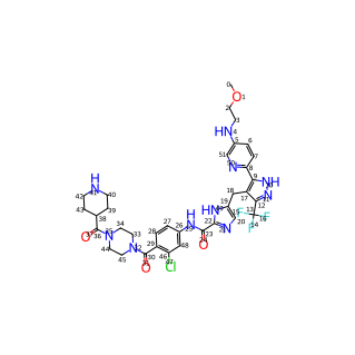 COCCNc1ccc(-c2[nH]nc(C(F)(F)F)c2Cc2cnc(C(=O)Nc3ccc(C(=O)N4CCN(C(=O)C5CCNCC5)CC4)c(Cl)c3)[nH]2)nc1